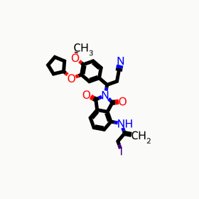 C=C(CI)Nc1cccc2c1C(=O)N(C(CC#N)c1ccc(OC)c(OC3CCCC3)c1)C2=O